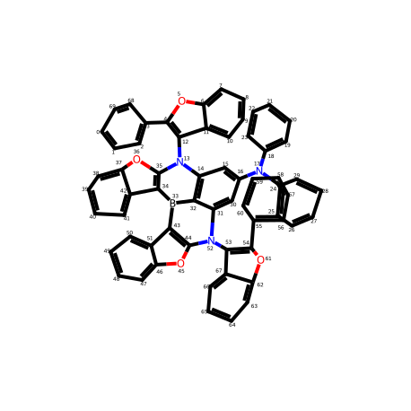 c1ccc(-c2oc3ccccc3c2N2c3cc(N(c4ccccc4)c4ccccc4)cc4c3B(c3c2oc2ccccc32)c2c(oc3ccccc23)N4c2c(-c3ccccc3)oc3ccccc23)cc1